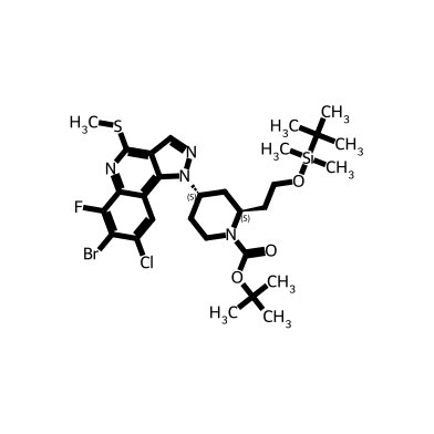 CSc1nc2c(F)c(Br)c(Cl)cc2c2c1cnn2[C@H]1CCN(C(=O)OC(C)(C)C)[C@H](CCO[Si](C)(C)C(C)(C)C)C1